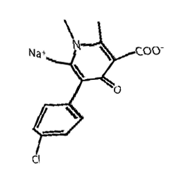 Cc1c(C(=O)[O-])c(=O)c(-c2ccc(Cl)cc2)c(C)n1C.[Na+]